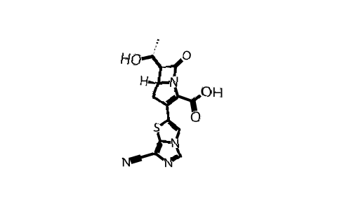 C[C@@H](O)[C@H]1C(=O)N2C(C(=O)O)=C(c3cn4cnc(C#N)c4s3)C[C@H]12